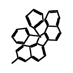 Cc1ccc2c3c(ccc2c1)-c1ccc2ccccc2c1[Si]3(c1ccccc1)c1ccccc1